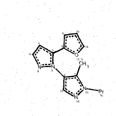 Cc1c(-n2nccc2-c2ccco2)cnn1C(C)C